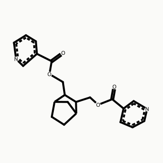 O=C(OCC1C2CCC(C2)C1COC(=O)c1cccnc1)c1cccnc1